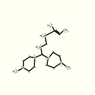 CC=C(C)[SiH2]C[SiH2]C(N1CCN(C)CC1)N1CCN(C)CC1